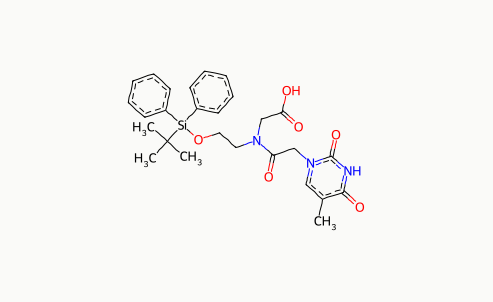 Cc1cn(CC(=O)N(CCO[Si](c2ccccc2)(c2ccccc2)C(C)(C)C)CC(=O)O)c(=O)[nH]c1=O